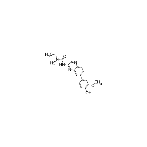 CCN(S)C(=O)Nc1cnc2ccc(-c3ccc(O)c(OC)c3)nc2n1